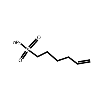 C=CCCCCS(=O)(=O)CCC